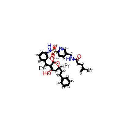 C=C(CCC(=O)NCc1ccc(S(=O)(=O)Nc2cccc([C@@H](CC)C3=C(O)C[C@@](CCC)(CCc4ccccc4)OC3=O)c2)nc1)C(C)C